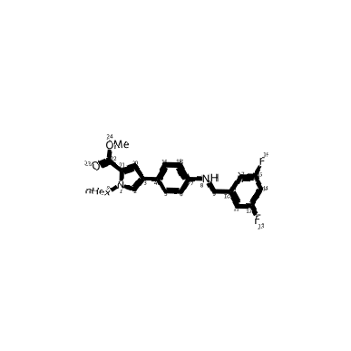 CCCCCCn1cc(-c2ccc(NCc3cc(F)cc(F)c3)cc2)cc1C(=O)OC